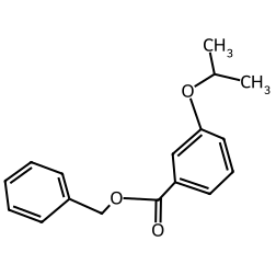 CC(C)Oc1cccc(C(=O)OCc2ccccc2)c1